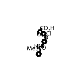 CSC(Cc1ccccc1)NC(=O)c1ccc(Oc2cc3c(cc2Cl)C(C(=O)O)CCO3)cc1